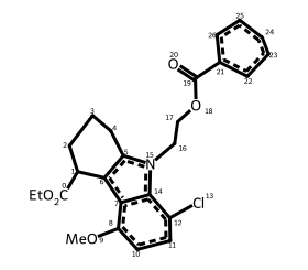 CCOC(=O)C1CCCc2c1c1c(OC)ccc(Cl)c1n2CCOC(=O)c1ccccc1